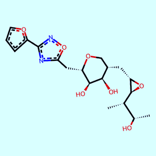 C[C@H]([C@@H]1O[C@H]1C[C@H]1CO[C@@H](Cc2nc(-c3ccco3)no2)[C@H](O)[C@@H]1O)[C@H](C)O